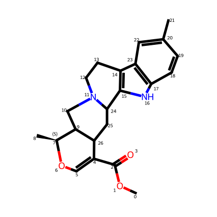 COC(=O)C1=CO[C@@H](C)C2CN3CCc4c([nH]c5ccc(C)cc45)C3CC12